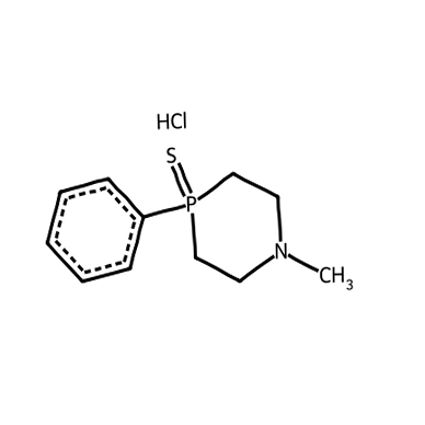 CN1CCP(=S)(c2ccccc2)CC1.Cl